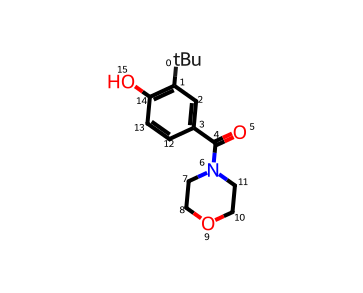 CC(C)(C)c1cc(C(=O)N2CCOCC2)ccc1O